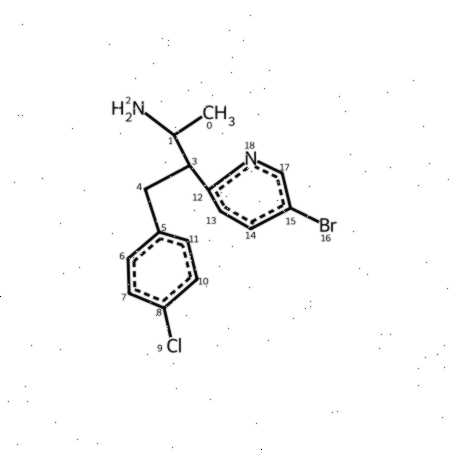 CC(N)C(Cc1ccc(Cl)cc1)c1ccc(Br)cn1